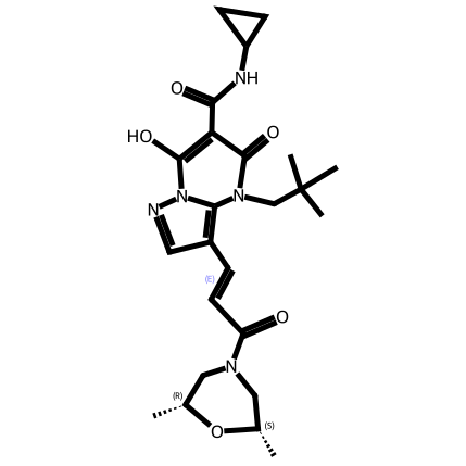 C[C@@H]1CN(C(=O)/C=C/c2cnn3c(O)c(C(=O)NC4CC4)c(=O)n(CC(C)(C)C)c23)C[C@H](C)O1